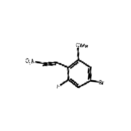 COc1cc(Br)cc(F)c1/C=C/[N+](=O)[O-]